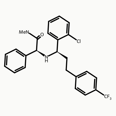 CNC(=O)[C@@H](N[C@H](CCc1ccc(C(F)(F)F)cc1)c1ccccc1Cl)c1ccccc1